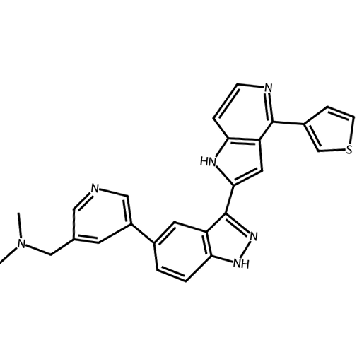 CN(C)Cc1cncc(-c2ccc3[nH]nc(-c4cc5c(-c6ccsc6)nccc5[nH]4)c3c2)c1